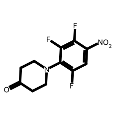 O=C1CCN(c2c(F)cc([N+](=O)[O-])c(F)c2F)CC1